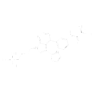 C=C(C)C(=O)Nc1cccc(-c2ncnc3c2c(-c2nccs2)cn3COCC[Si](C)(C)C)c1